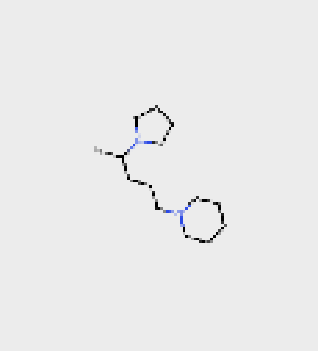 [CH2]CC(CCCN1CCCCC1)N1CCCC1